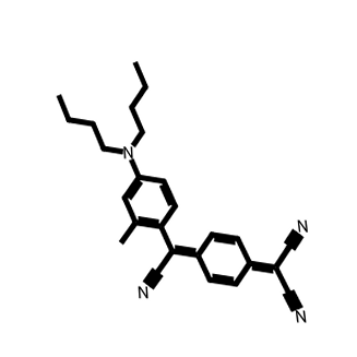 CCCCN(CCCC)c1ccc(C(C#N)=c2ccc(=C(C#N)C#N)cc2)c(C)c1